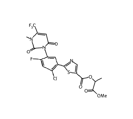 COC(=O)C(C)OC(=O)c1cnc(-c2cc(-n3c(=O)cc(C(F)(F)F)n(C)c3=O)c(F)cc2Cl)s1